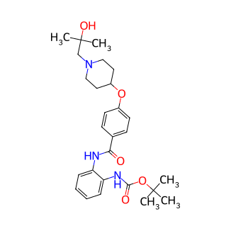 CC(C)(O)CN1CCC(Oc2ccc(C(=O)Nc3ccccc3NC(=O)OC(C)(C)C)cc2)CC1